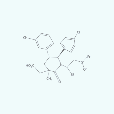 CCC(C[S@@+]([O-])C(C)C)N1C(=O)[C@@](C)(CC(=O)O)C[C@H](c2cccc(Cl)c2)[C@H]1c1ccc(Cl)cc1